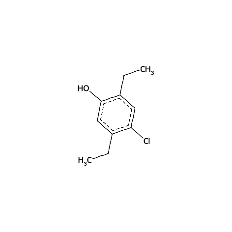 CCc1cc(Cl)c(CC)cc1O